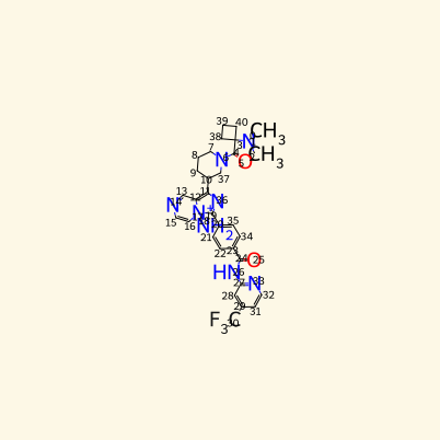 CN(C)C1(C(=O)N2CCCC(C3=C4C=NC=C[N+]4(N)C(c4ccc(C(=O)Nc5cc(C(F)(F)F)ccn5)cc4)=N3)C2)CCC1